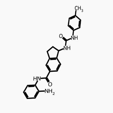 Cc1ccc(NC(=O)NC2CCc3cc(C(=O)Nc4ccccc4N)ccc32)cc1